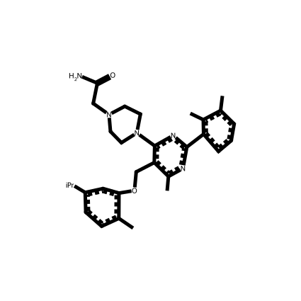 Cc1ccc(C(C)C)cc1OCc1c(C)nc(-c2cccc(C)c2C)nc1N1CCN(CC(N)=O)CC1